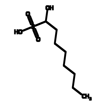 CCCCCCCC(O)S(=O)(=O)O